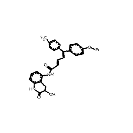 CC(C)Oc1ccc(C(=CC=CC(=O)Nc2cccc3c2CC(O)C(=O)N3)c2ccc(C(F)(F)F)cc2)cc1